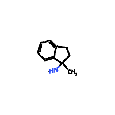 CC1([NH])CCc2ccccc21